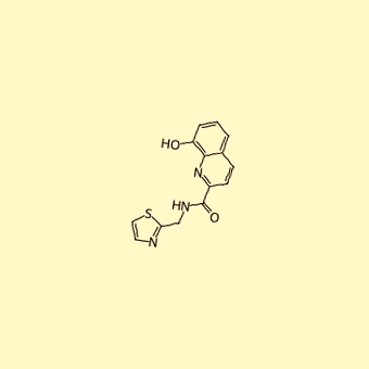 O=C(NCc1nccs1)c1ccc2cccc(O)c2n1